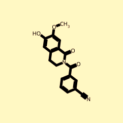 COc1cc2c(cc1O)CCN(C(=O)c1cccc(C#N)c1)C2=O